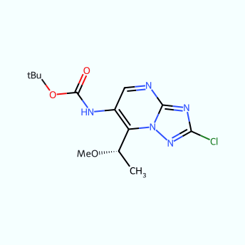 CO[C@@H](C)c1c(NC(=O)OC(C)(C)C)cnc2nc(Cl)nn12